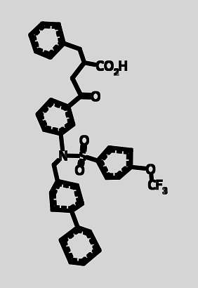 O=C(CC(Cc1ccccc1)C(=O)O)c1cccc(N(Cc2ccc(-c3ccccc3)cc2)S(=O)(=O)c2ccc(OC(F)(F)F)cc2)c1